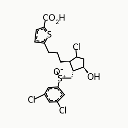 O=C(O)c1ccc(CCC[C@H]2C(Cl)C[C@@H](O)[C@@H]2C[S+]([O-])c2cc(Cl)cc(Cl)c2)s1